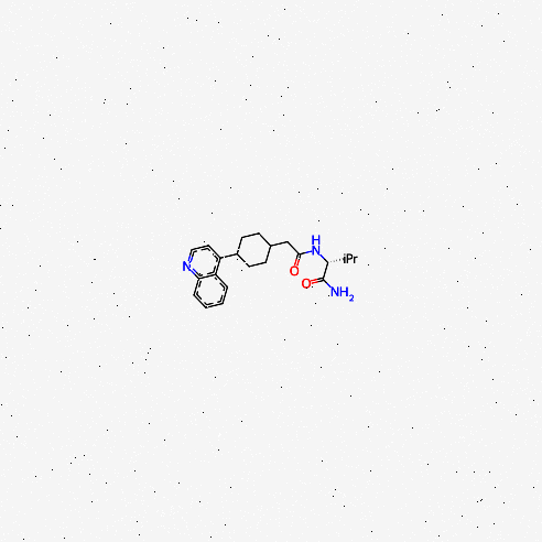 CC(C)[C@@H](NC(=O)CC1CCC(c2ccnc3ccccc23)CC1)C(N)=O